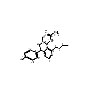 CCCCc1cccc2c1C(NC(N)=O)N(C)CC2c1ccc(C)cc1